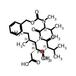 CC[C@H](C)[C@@H]([C@@H](CC(=O)O)OC)N(C(=O)[C@@H](NC)C(C)C)C(=O)[C@H](C(C)C)N(C)C(=O)OCc1ccccc1